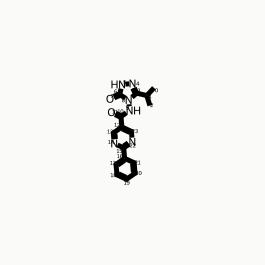 CC(C)c1n[nH]c(=O)n1NC(=O)c1cnc(-c2ccccc2)nc1